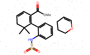 C1=COCCC1.COC(=O)C1=C(c2ccccc2N[SH](=O)=O)C(C)(C)CC=C1